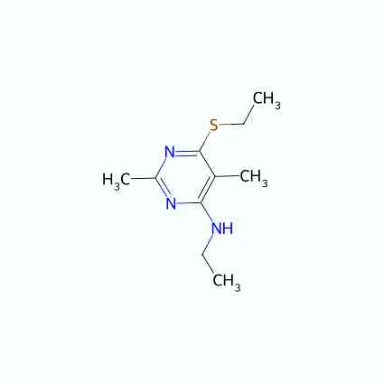 CCNc1nc(C)nc(SCC)c1C